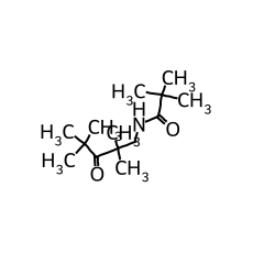 CC(C)(C)C(=O)NCC(C)(C)C(=O)C(C)(C)C